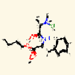 CCCCOC(=O)[C@@H](Cc1ccccc1)NC(=O)[C@@H](C)N(C)Cl